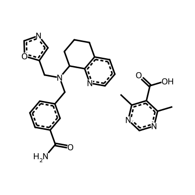 Cc1ncnc(C)c1C(=O)O.NC(=O)c1cccc(CN(Cc2cnco2)C2CCCc3cccnc32)c1